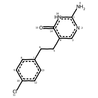 Nc1ncc(CCc2ccc(Cl)cc2)c(=O)[nH]1